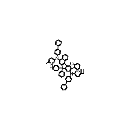 CC1=CC=C(N(c2ccc(-c3ccccc3)cc2)c2cc3c(c4ccccc24)-c2c(cc(N(C4=CC=C(C)NC4)c4ccc(-c5ccccc5)cc4)c4c2oc2ccccc24)C3(c2ccccc2)c2ccccc2)CN1